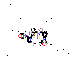 CC1CN(c2cccc(C(C)NC(=O)c3sc(-c4ncccc4CN4CCOCC4)nc3C(F)(F)F)c2)CC(C)O1